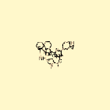 CO[C@H]1CCN(C)[C@@H]1[C@H](C)Oc1cc(N2CCNC3(CC3)C2)nc(-c2onc3c2CCC[C@@]32CCCc3sc(N)c(C#N)c32)n1